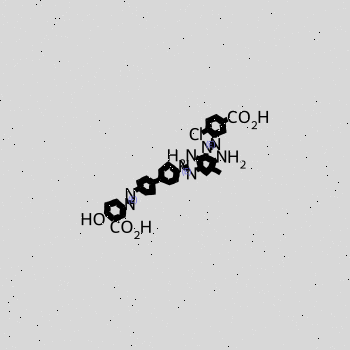 Cc1cc(/N=N/c2ccc(-c3ccc(/N=N/c4ccc(O)c(C(=O)O)c4)cc3)cc2)c(N)c(/N=N/c2cc(C(=O)O)ccc2Cl)c1N